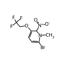 CN1C(Br)=CC=C(OCC(F)(F)F)C1[N+](=O)[O-]